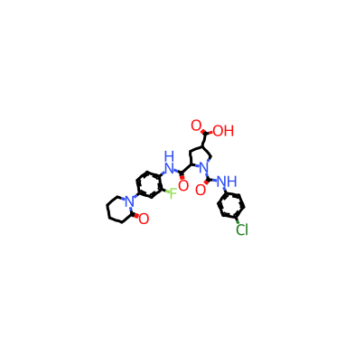 O=C(O)C1CC(C(=O)Nc2ccc(N3CCCCC3=O)cc2F)N(C(=O)Nc2ccc(Cl)cc2)C1